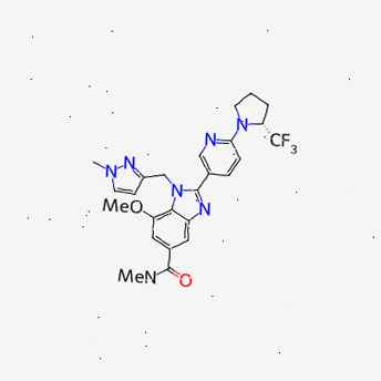 CNC(=O)c1cc(OC)c2c(c1)nc(-c1ccc(N3CCC[C@@H]3C(F)(F)F)nc1)n2Cc1ccn(C)n1